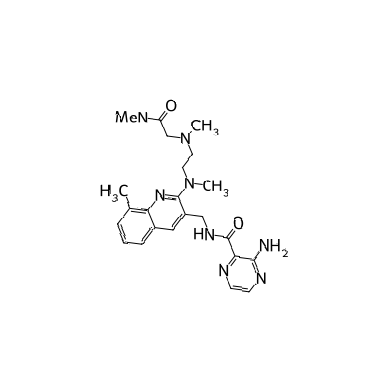 CNC(=O)CN(C)CCN(C)c1nc2c(C)cccc2cc1CNC(=O)c1nccnc1N